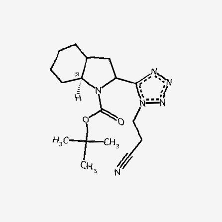 CC(C)(C)OC(=O)N1C(c2nnnn2CCC#N)CC2CCCC[C@@H]21